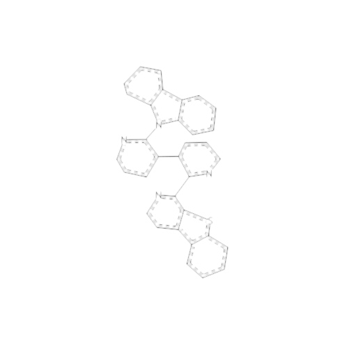 c1cnc(-c2nccc3c2sc2ccccc23)c(-c2cccnc2-n2c3ccccc3c3ccccc32)c1